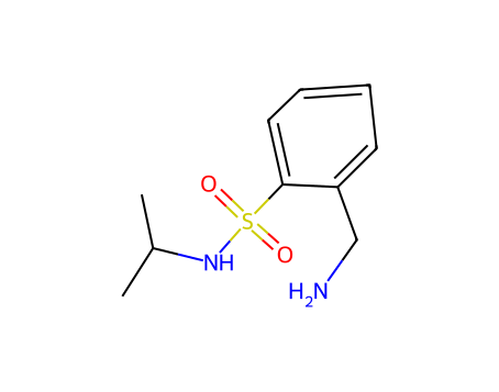 CC(C)NS(=O)(=O)c1ccccc1CN